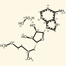 CN(CCON)C[C@H]1O[C@@H](n2cnc3c(N)ncnc32)[C@H](O)[C@@H]1O.O=S(=O)(O)O